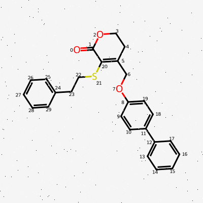 O=C1OCCC(COc2ccc(-c3ccccc3)cc2)=C1SCCc1ccccc1